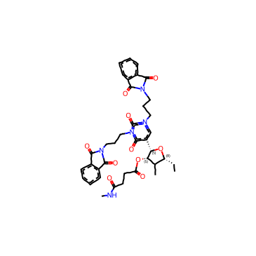 CC[C@H]1O[C@@H](c2cn(CCCN3C(=O)c4ccccc4C3=O)c(=O)n(CCCN3C(=O)c4ccccc4C3=O)c2=O)[C@@H](OC(=O)CCC(=O)NC)C1C